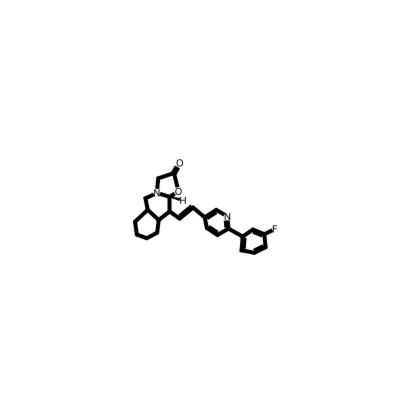 O=C1CN2CC3CCCCC3C(/C=C/c3ccc(-c4cccc(F)c4)nc3)[C@H]2O1